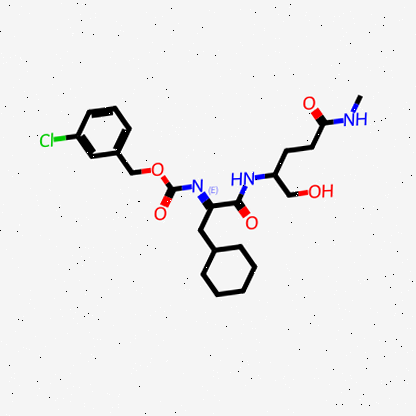 CNC(=O)CCC(CO)NC(=O)/C(CC1CCCCC1)=N/C(=O)OCc1cccc(Cl)c1